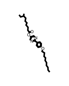 CCCCCCCCCCOc1ccc(-c2ncc(OC(=O)CCCCCCC(C)CC)cn2)cc1